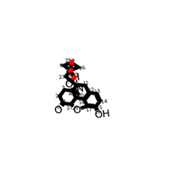 O=C1CC[C@@]2(OCC3CC3)[C@H]3Cc4ccc(O)c5c4[C@@]2(CCN3CC2CC2)C1O5